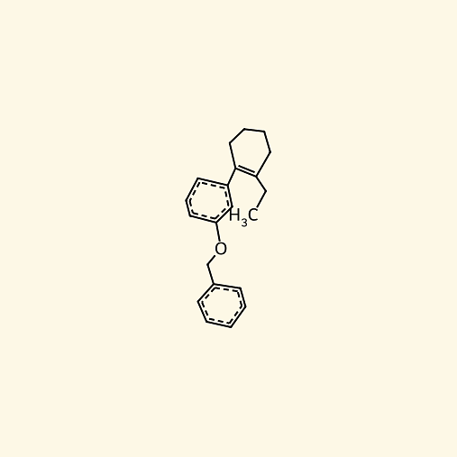 CCC1=C(c2cccc(OCc3ccccc3)c2)CCCC1